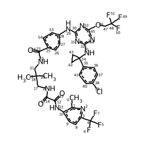 Cc1nc(C(F)(F)F)ccc1NC(=O)C(=O)NCC(C)(C)CNC(=O)c1ccc(Nc2nc(NC3(c4ccc(Cl)cc4)CC3)nc(OCC(F)(F)F)n2)cc1